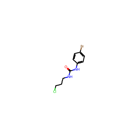 O=C(NCCCCl)Nc1ccc(Br)cc1